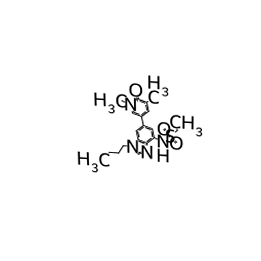 CCCCn1cnc2c(NS(=O)(=O)CC)cc(-c3cc(C)c(=O)n(C)c3)cc21